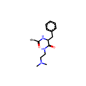 CN(C)CCNC(=O)C(Cc1ccccc1)NC(=O)C(C)(C)C